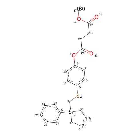 CC(C)C[Si](CSc1ccc(OC(=O)CCC(=O)OC(C)(C)C)cc1)(CC(C)C)c1ccccc1